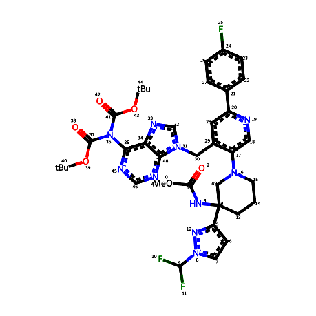 COC(=O)NC1(c2ccn(C(F)F)n2)CCCN(c2cnc(-c3ccc(F)cc3)cc2Cn2cnc3c(N(C(=O)OC(C)(C)C)C(=O)OC(C)(C)C)ncnc32)C1